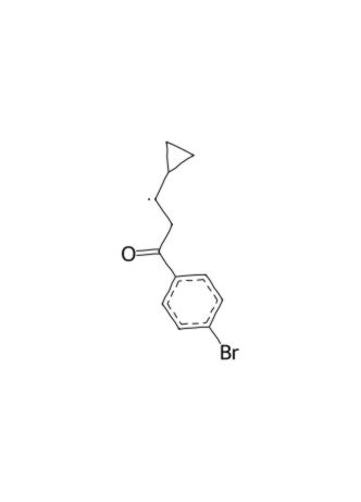 O=C(C[CH]C1CC1)c1ccc(Br)cc1